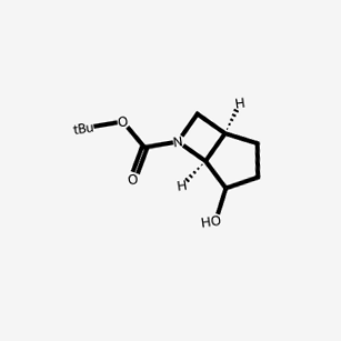 CC(C)(C)OC(=O)N1C[C@H]2CCC(O)[C@H]21